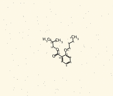 CCCCOc1ccccc1C(=O)OCC(C)C